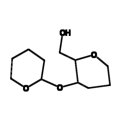 OCC1OCCCC1OC1CCCCO1